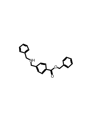 O=C(OCc1ccccc1)c1ccc(CNCc2ccccc2)cc1